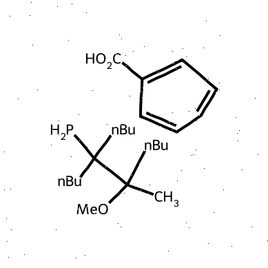 CCCCC(P)(CCCC)C(C)(CCCC)OC.O=C(O)c1ccccc1